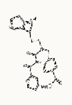 COC(=O)c1ccc(CN(CCc2c[nH]c3ccccc23)C(=O)NC(=O)c2ccccc2)cc1